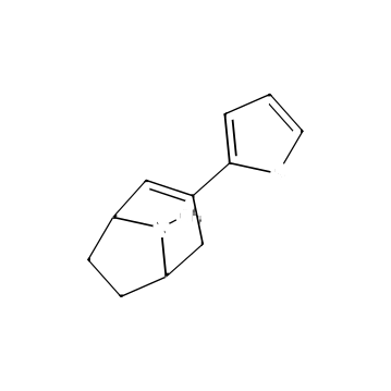 CN1C2C=C(c3ccc[se]3)CC1CC2